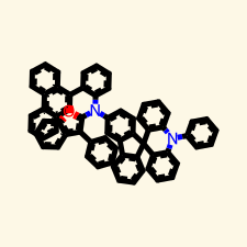 c1ccc(-c2c(N(c3ccc4c(c3)-c3ccccc3C43c4ccccc4N(c4ccccc4)c4ccccc43)c3ccccc3-c3cc4ccccc4c4ccccc34)oc3ccccc23)cc1